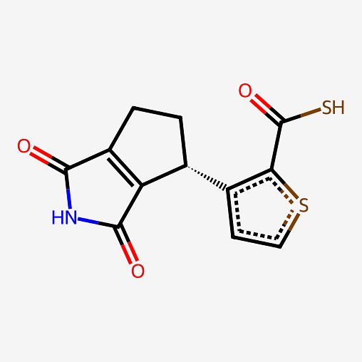 O=C1NC(=O)C2=C1CC[C@@H]2c1ccsc1C(=O)S